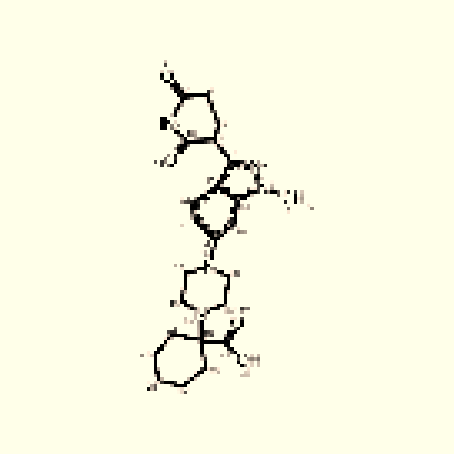 Cn1nc(C2CCC(=O)NC2=O)c2ccc(N3CCN(C4(C(=O)O)CCCCC4)CC3)cc21